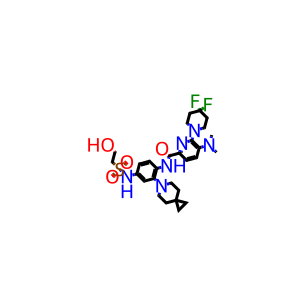 CN(C)c1ccc(C(=O)Nc2ccc(NS(=O)(=O)CCO)cc2N2CCC3(CC2)CC3)nc1N1CCC(F)(F)CC1